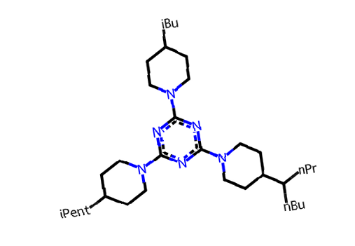 CCCCC(CCC)C1CCN(c2nc(N3CCC(C(C)CC)CC3)nc(N3CCC(C(C)CCC)CC3)n2)CC1